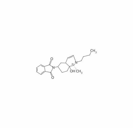 CCCCN1C=CC2CC(N3C(=O)c4ccccc4C3=O)CCC2(O)[C@H]1C